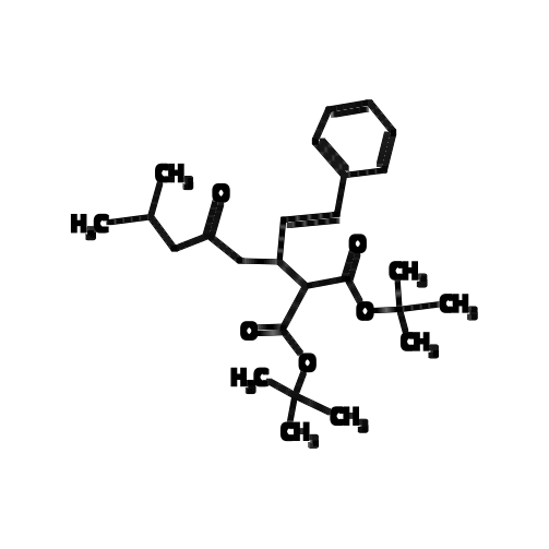 CC(C)CC(=O)CC(C=Cc1ccccc1)C(C(=O)OC(C)(C)C)C(=O)OC(C)(C)C